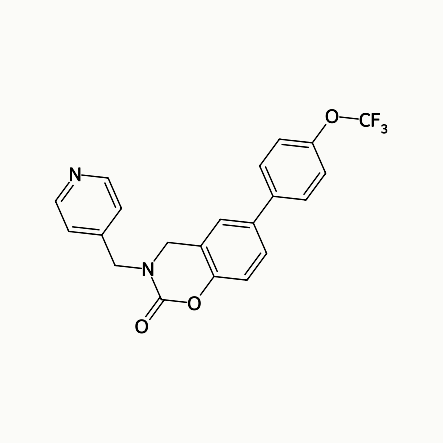 O=C1Oc2ccc(-c3ccc(OC(F)(F)F)cc3)cc2CN1Cc1ccncc1